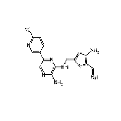 N#Cc1ccc(-c2cnc(N)c(NCc3cc(N)c(C=N)s3)n2)cn1